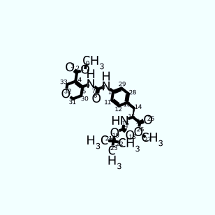 COC(=O)C1=C(NC(=O)Nc2ccc(C[C@H](NC(=O)OC(C)(C)C)C(=O)OC)cc2)CCOC1